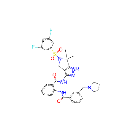 CC1(C)c2[nH]nc(NC(=O)c3ccccc3NC(=O)c3cccc(CN4CCCC4)c3)c2CN1S(=O)(=O)c1cc(F)cc(F)c1